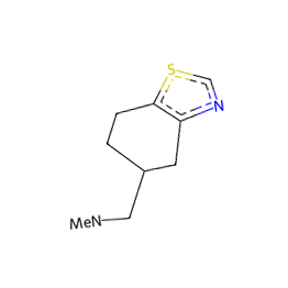 CNCC1CCc2scnc2C1